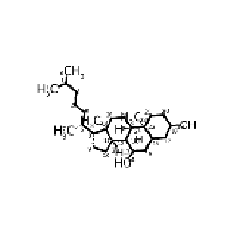 CC(C)CCC[C@@H](C)[C@H]1CC[C@H]2[C@@H]3C(O)CC4CC(O)CC[C@]4(C)[C@H]3CC[C@]12C